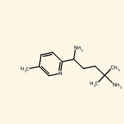 Cc1ccc(C(N)CCC(C)(C)N)nc1